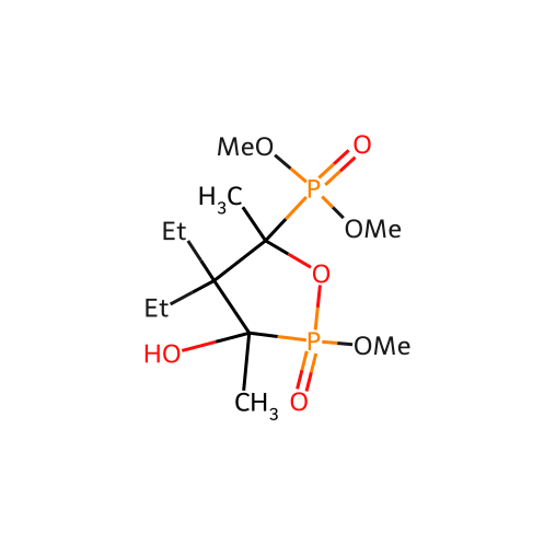 CCC1(CC)C(C)(O)P(=O)(OC)OC1(C)P(=O)(OC)OC